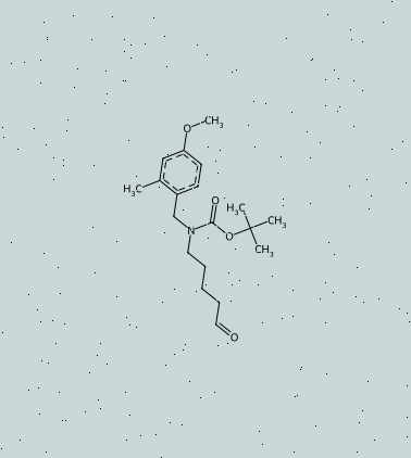 COc1ccc(CN(CCCCC=O)C(=O)OC(C)(C)C)c(C)c1